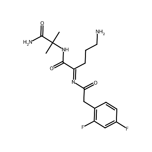 CC(C)(NC(=O)/C(CCCN)=N/C(=O)Cc1ccc(F)cc1F)C(N)=O